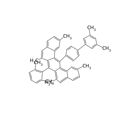 Cc1cc(C)cc(-c2ccc(-c3c4c(c(C)cc5ccc(C)cc54)c(-c4c(C)cccc4C)c4c(C)cc5ccc(C)cc5c34)cc2)c1